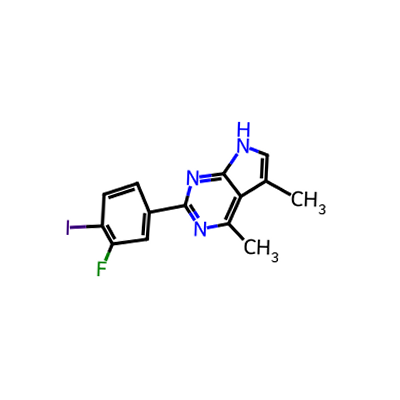 Cc1c[nH]c2nc(-c3ccc(I)c(F)c3)nc(C)c12